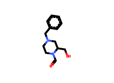 O=CN1CCN(Cc2ccccc2)CC1CO